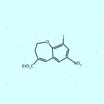 CCOC(=O)C1=Cc2cc([N+](=O)[O-])cc(I)c2OCC1